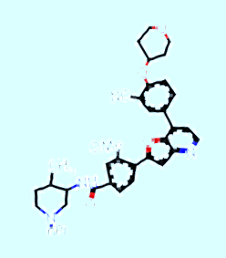 CCCN1CCC(C)C(NC(=O)c2ccc(-c3cc4nccc(-c5ccc(OC6CCOCC6)c(C#N)c5)c4o3)c(OC)c2)C1